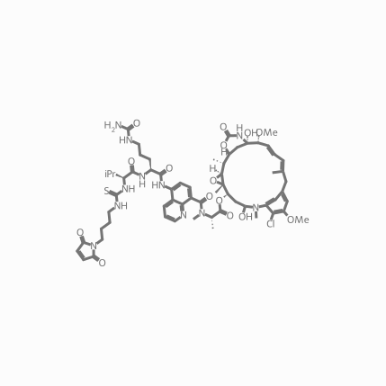 COc1cc2cc(c1Cl)N(C)C(O)C[C@H](OC(=O)[C@H](C)N(C)C(=O)c1ccc(NC(=O)[C@H](CCCNC(N)=O)NC(=O)[C@@H](NC(=S)NCCCCN3C(=O)C=CC3=O)C(C)C)c3cccnc13)[C@]1(C)O[C@H]1[C@H](C)[C@@H]1C[C@@](O)(NC(=O)O1)[C@H](OC)/C=C/C=C(\C)C2